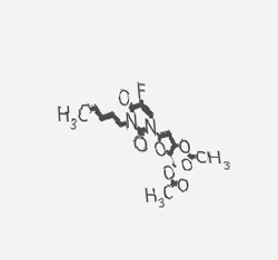 CCCCCn1c(=O)c(F)cn([C@@H]2CC(OC(C)=O)[C@H](COC(C)=O)O2)c1=O